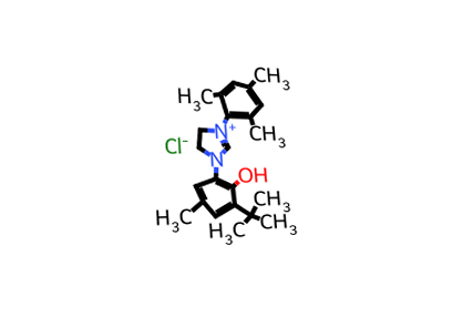 Cc1cc(C)c([N+]2=CN(c3cc(C)cc(C(C)(C)C)c3O)CC2)c(C)c1.[Cl-]